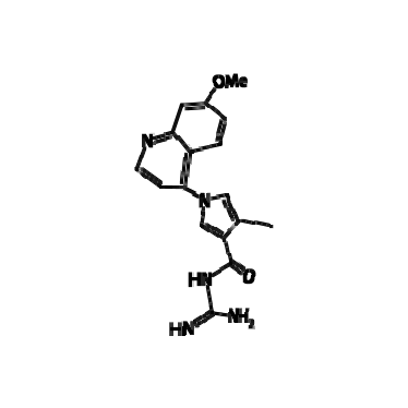 COc1ccc2c(-n3cc(C)c(C(=O)NC(=N)N)c3)ccnc2c1